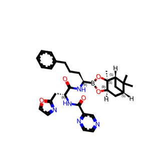 CC1(C)[C@@H]2C[C@H]3OB([C@H](CCCc4ccccc4)NC(=O)[C@@H](Cc4ncco4)NC(=O)c4cnccn4)O[C@@]3(C)[C@H]1C2